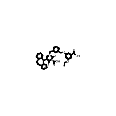 CCOc1cc(OCc2cccc(Cn3cc(C4c5ccccc5C=Cc5ccccc54)c(=S)n(C(=O)O)c3=O)c2)cc(C(=O)O)c1